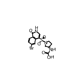 O=C(O)N[C@@H]1CCN(S(=O)(=O)c2c[nH]c(=O)c3ccc(Br)cc23)C1